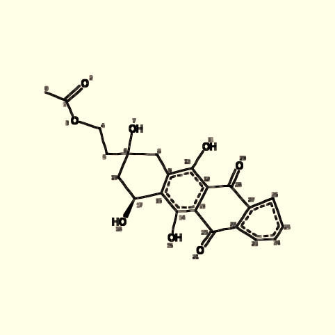 CC(=O)OCCC1(O)Cc2c(O)c3c(c(O)c2[C@@H](O)C1)C(=O)c1ccccc1C3=O